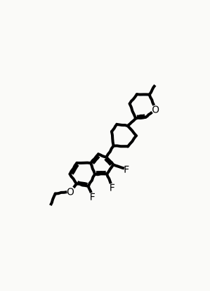 CCOc1ccc2cc(C3CCC(C4=COC(C)CC4)CC3)c(F)c(F)c2c1F